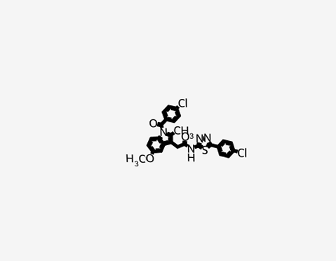 COc1ccc2c(c1)c(CC(=O)Nc1nnc(-c3ccc(Cl)cc3)s1)c(C)n2C(=O)c1ccc(Cl)cc1